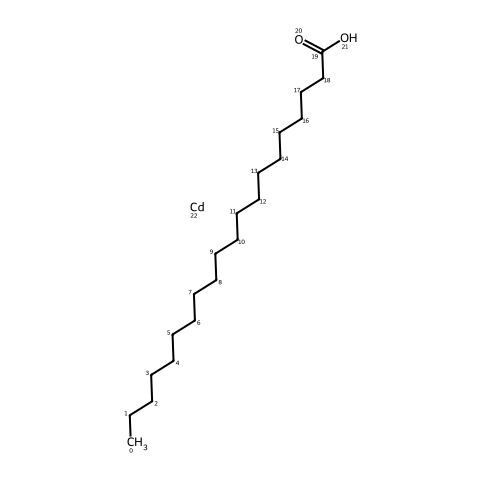 CCCCCCCCCCCCCCCCCCCC(=O)O.[Cd]